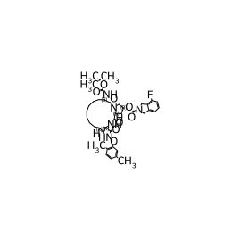 Cc1ccc(C)c(ONC(=O)[C@@]23C[C@H]2CCCCCCC[C@H](NC(=O)OC(C)(C)C)C(=O)N2C[C@H](OC(=O)N4Cc5cccc(F)c5C4)C[C@H]2C(=O)N3)c1